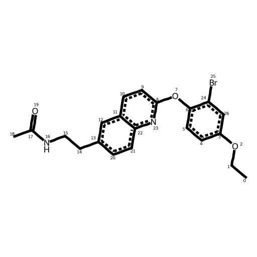 CCOc1ccc(Oc2ccc3cc(CCNC(C)=O)ccc3n2)c(Br)c1